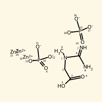 CN(CC(=O)O)C(=N)N.O=P([O-])([O-])[O-].O=P([O-])([O-])[O-].[Zn+2].[Zn+2].[Zn+2]